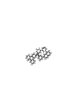 c1ccc(-c2cccc(N(c3ccc(-c4ccccc4-c4ccccc4)cc3)c3cccc(-c4ccc5ccccc5c4)c3)c2)cc1